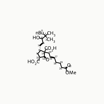 CCCCC(C)(C)C(O)C=C[C@H]1C[C@H](C(=O)O)C(=O)C1(CC=CCCCC(=O)OC)C(=O)O